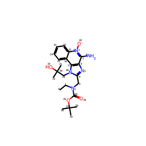 CCN(Cc1nc2c(N)[n+]([O-])c3ccccc3c2n1CC(C)(C)O)C(=O)OC(C)(C)C